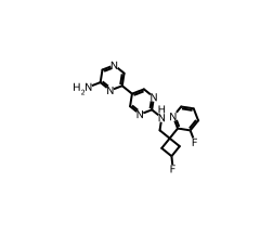 Nc1cncc(-c2cnc(NCC3(c4ncccc4F)CC(F)C3)nc2)n1